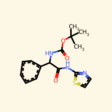 CC(C)(C)OC(=O)NC(C(=O)Nc1nccs1)c1ccccc1